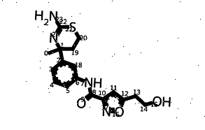 CC1(c2cccc(NC(=O)c3cc(CCO)on3)c2)CCSC(N)=N1